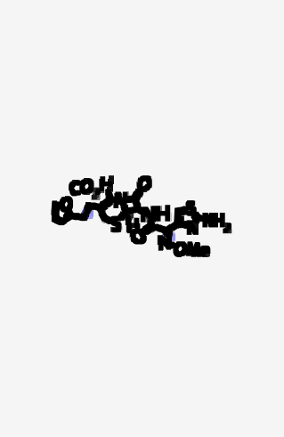 CO/N=C(/C(=O)NC1C(=O)N2C(C(=O)O)=C(/C=C/c3ccco3)CS[C@H]12)c1csc(N)n1